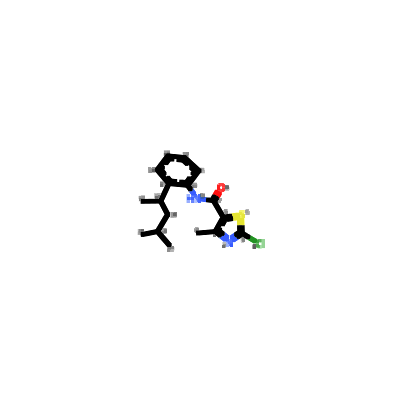 Cc1nc(Cl)sc1C(=O)Nc1ccccc1C(C)CC(C)C